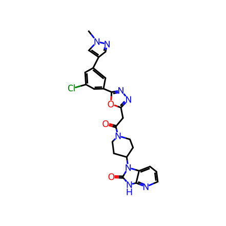 Cn1cc(-c2cc(Cl)cc(-c3nnc(CC(=O)N4CCC(n5c(=O)[nH]c6ncccc65)CC4)o3)c2)cn1